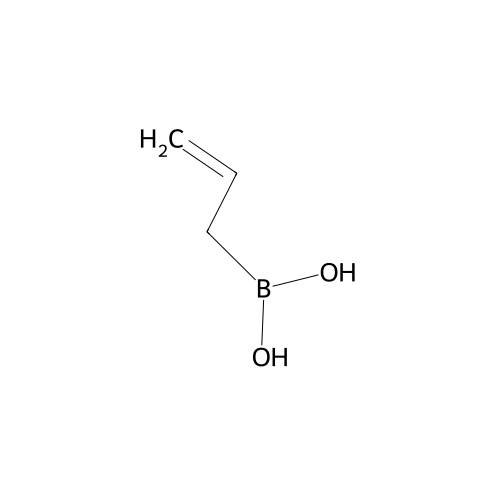 C=CCB(O)O